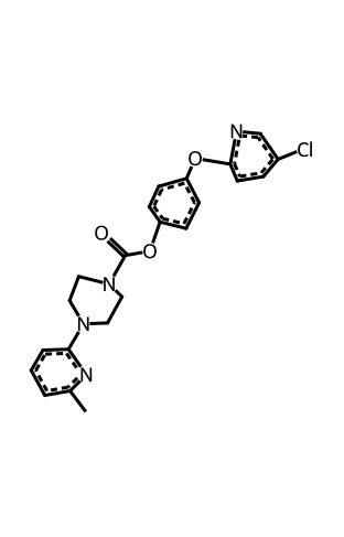 Cc1cccc(N2CCN(C(=O)Oc3ccc(Oc4ccc(Cl)cn4)cc3)CC2)n1